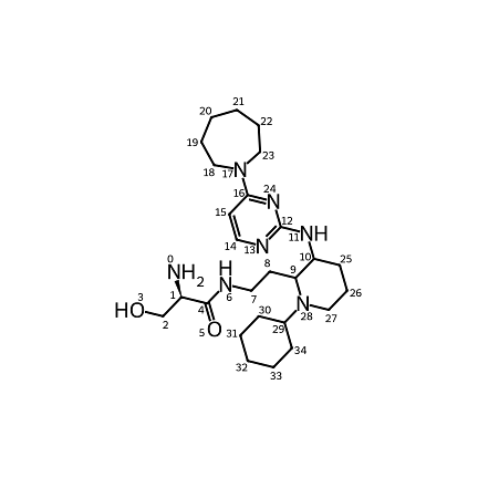 N[C@H](CO)C(=O)NCCC1C(Nc2nccc(N3CCCCCC3)n2)CCCN1C1CCCCC1